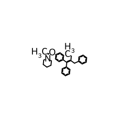 CCC(Cc1ccccc1)=C(c1ccccc1)c1ccc(OC(C)N2CCCCC2)cc1